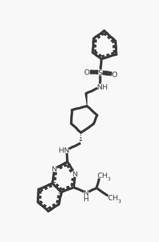 CC(C)Nc1nc(NC[C@H]2CC[C@H](CNS(=O)(=O)c3ccccc3)CC2)nc2ccccc12